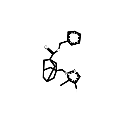 Cc1c(I)cnn1CC12CC3CC(C1)CC(C(=O)OCc1ccccc1)(C3)C2